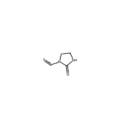 O=C1NCCN1[C]=S